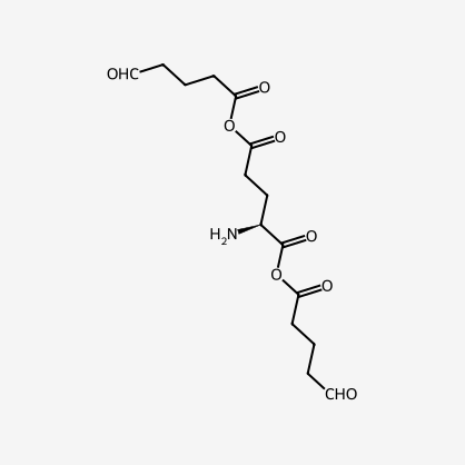 N[C@@H](CCC(=O)OC(=O)CCCC=O)C(=O)OC(=O)CCCC=O